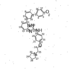 COc1ccc(-c2cccc(-c3cccc4nc(Nc5ccc(OCCN6CCCC6)cc5)nn34)c2)cc1